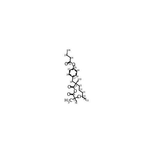 CC(C)(I)C(=O)OC(=O)C(I)(CCCCI)Cc1ccc(OC(=O)CCI)cc1